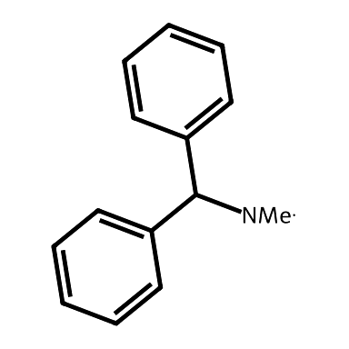 C[N]C(c1ccccc1)c1ccccc1